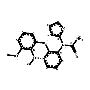 COc1cccc(Oc2ncccc2N(C(N)=O)c2nccs2)c1OC